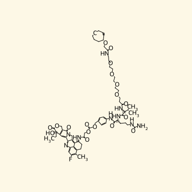 CC[C@@]1(O)C(=O)OCc2c1cc1n(c2=O)Cc2c-1nc1cc(F)c(C)c3c1c2[C@@H](NC(=O)COC(=O)OCc1ccc(NC(=O)[C@H](CCCNC(N)=O)NC(=O)[C@@H](NC(=O)CCOCCOCCOCCOCCNC(=O)COC2C#CCCCCC2)C(C)C)cc1)CC3